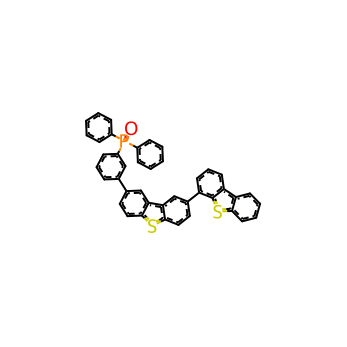 O=P(c1ccccc1)(c1ccccc1)c1cccc(-c2ccc3sc4ccc(-c5cccc6c5sc5ccccc56)cc4c3c2)c1